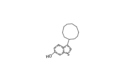 Oc1ccc2c(C3CCCCCCCCC3)csc2c1